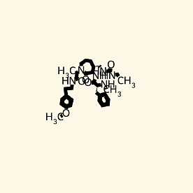 CCNC(=O)NC[C@H]1CCCN([C@@H](C)C(=O)NCCc2ccc(OC)cc2)C(=O)[C@H]1NC(=O)[C@@H](Cc1ccccc1)NC